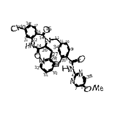 COc1cnc(NC(=O)c2ccc(CN3C(=O)c4ccc(Cl)cc4NC(=O)C3Cc3ccccn3)cc2Cl)nc1